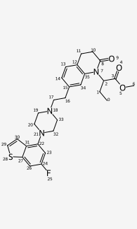 CCC(C(=O)OC)N1C(=O)CCc2ccc(CCN3CCN(c4cc(F)cc5sccc45)CC3)cc21